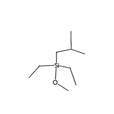 CC[Si](CC)(CC(C)C)OC